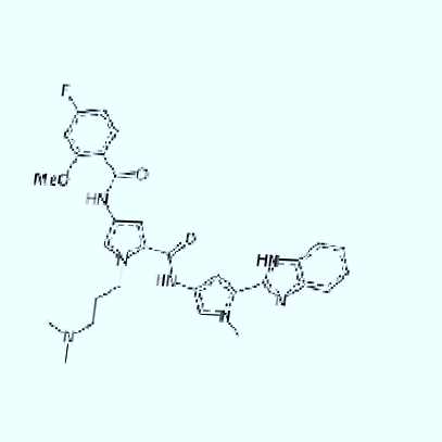 COc1cc(F)ccc1C(=O)Nc1cc(C(=O)Nc2cc(-c3nc4ccccc4[nH]3)n(C)c2)n(CCCN(C)C)c1